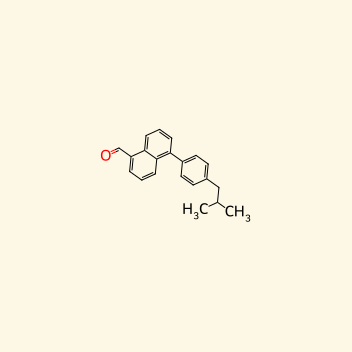 CC(C)Cc1ccc(-c2cccc3c(C=O)cccc23)cc1